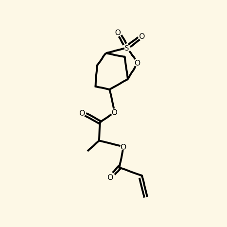 C=CC(=O)OC(C)C(=O)OC1CCC2CC1OS2(=O)=O